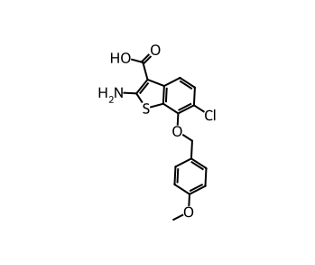 COc1ccc(COc2c(Cl)ccc3c(C(=O)O)c(N)sc23)cc1